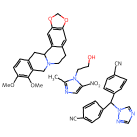 COc1ccc2c(c1OC)CN1CCc3cc4c(cc3C1C2)OCO4.Cc1ncc([N+](=O)[O-])n1CCO.N#Cc1ccc(C(c2ccc(C#N)cc2)n2cncn2)cc1